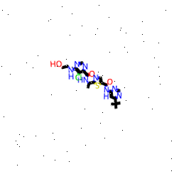 CC(NC(=O)c1ncnc(NCCO)c1Cl)c1ncc(C(=O)Nc2cc(C(C)(C)C)ncn2)s1